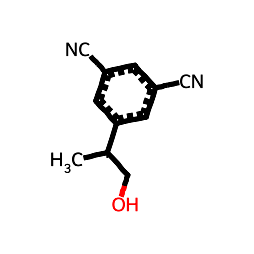 C[C](CO)c1cc(C#N)cc(C#N)c1